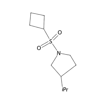 CC(C)C1CCN(S(=O)(=O)C2CCC2)C1